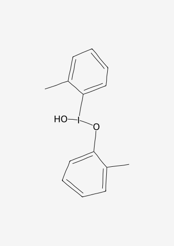 Cc1ccccc1OI(O)c1ccccc1C